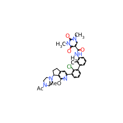 COc1nc(-c2cccc(-c3cccc(NC(=O)c4cn(C)c(=O)n(C)c4=O)c3C)c2Cl)cc2c1C(N1CCN(C(C)=O)CC1)CC2